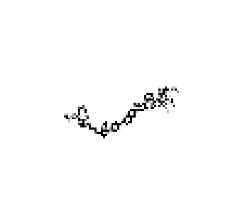 COC(=O)N[C@H](C(=O)N1CCC[C@H]1C1=NCC(c2ccc3cc(-c4ccc(C5CN=C(CCCCNC(=O)CC(C)C)N5)cc4)ccc3c2)N1)C(C)C